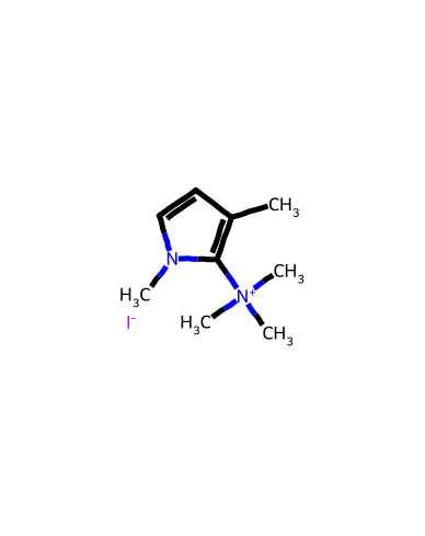 Cc1ccn(C)c1[N+](C)(C)C.[I-]